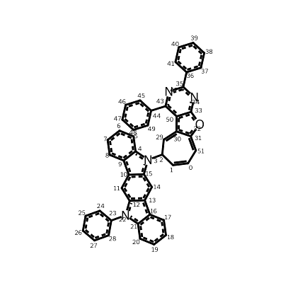 C1=CC(n2c3ccccc3c3cc4c(cc32)c2ccccc2n4-c2ccccc2)C=c2c(oc3nc(-c4ccccc4)nc(-c4ccccc4)c23)=C1